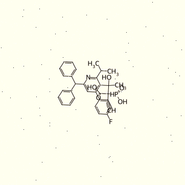 C#CC(C(=O)O)([PH](=O)O)C(C)(O)c1c(-c2ccc(F)cc2)cc(C(c2ccccc2)c2ccccc2)nc1C(C)C